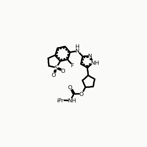 CC(C)NC(=O)OC1CCC(c2cc(Nc3ccc4c(c3F)S(=O)(=O)CC4)n[nH]2)C1